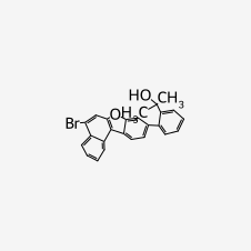 CC(C)(O)c1ccccc1-c1ccc2c(c1)oc1cc(Br)c3ccccc3c12